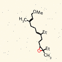 CCC(=CCCC(C)=CCOC)CCC1OC1(C)CC